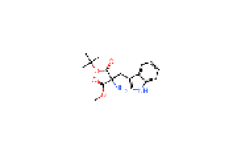 COC(=O)C(N)(Cc1c[nH]c2ccccc12)C(=O)OC(C)(C)C